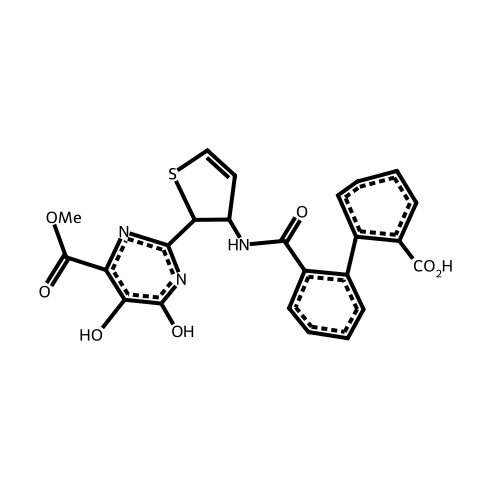 COC(=O)c1nc(C2SC=CC2NC(=O)c2ccccc2-c2ccccc2C(=O)O)nc(O)c1O